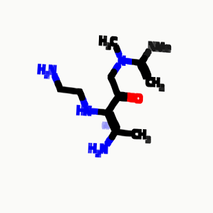 C=C(NC)N(C)CC(=O)/C(NCCN)=C(\C)N